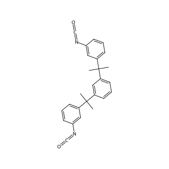 CC(C)(c1cccc(N=C=O)c1)c1cccc(C(C)(C)c2cccc(N=C=O)c2)c1